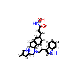 Cc1c[nH]c(CN(CCc2c[nH]c3ccccc23)C2CCc3cc(C=CC(=O)NO)ccc32)c1